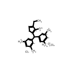 CCC1=CCC(C(c2cc(C)cc(C)c2)c2cc(C)cc(C)c2)=[C]1[Ti+3].[Cl-].[Cl-].[Cl-]